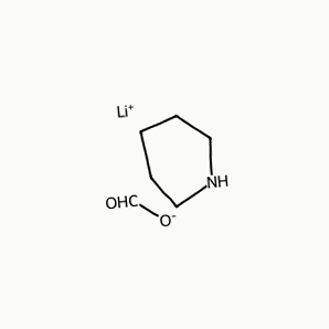 C1CCNCC1.O=C[O-].[Li+]